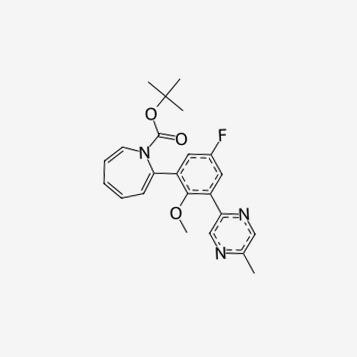 COc1c(C2=CC=CC=CN2C(=O)OC(C)(C)C)cc(F)cc1-c1cnc(C)cn1